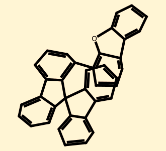 c1ccc2c(c1)-c1ccccc1C21c2ccccc2-c2cccc(-c3cccc4c3oc3ccccc34)c21